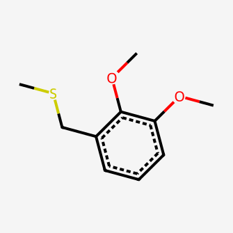 COc1cccc(CSC)c1OC